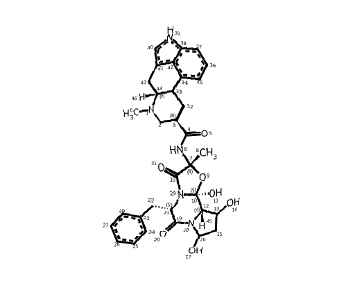 CN1C[C@H](C(=O)N[C@]2(C)O[C@@]3(O)[C@@H]4C(O)CC(O)N4C(=O)[C@H](Cc4ccccc4)N3C2=O)CC2c3cccc4[nH]cc(c34)C[C@H]21